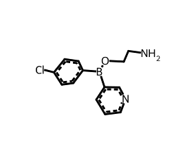 NCCOB(c1ccc(Cl)cc1)c1cccnc1